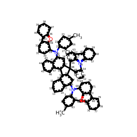 Cc1ccc(N(c2cc3c(c4ccccc24)-c2c(cc(N(c4ccc(C)cc4C)c4cccc5c4oc4ccccc45)c4ccccc24)C32c3ccccc3-n3c4ccccc4c4cccc2c43)c2cccc3c2oc2ccccc23)c(C)c1